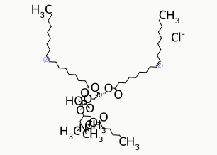 CCCCCCCC/C=C\CCCCCCCC(=O)OC[C@H](COP(=O)(O)OC(COC(=O)CCCCC)C[N+](C)(C)C)OC(=O)CCCCCCC/C=C\CCCCCCCC.[Cl-]